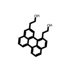 OCCc1cc2cccc3c4cccc5ccc(CCO)c(c(c1)c23)c54